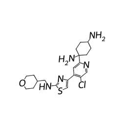 NC1CCC(N)(c2cc(-c3csc(NCC4CCOCC4)n3)c(Cl)cn2)CC1